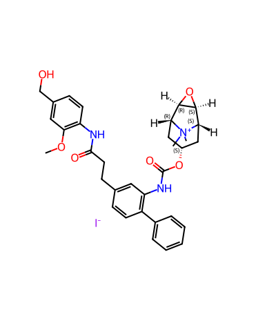 COc1cc(CO)ccc1NC(=O)CCc1ccc(-c2ccccc2)c(NC(=O)O[C@@H]2C[C@@H]3[C@H]4O[C@H]4[C@H](C2)[N+]3(C)C)c1.[I-]